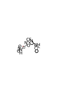 CN(C(=O)C12CC(NS(C)(=O)=O)(C1)C2)C(c1ccc(N[C@H]2Cc3ccccc3C2(C)C)cn1)C(F)(F)F